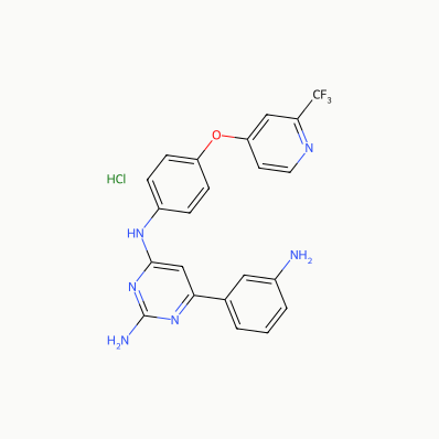 Cl.Nc1cccc(-c2cc(Nc3ccc(Oc4ccnc(C(F)(F)F)c4)cc3)nc(N)n2)c1